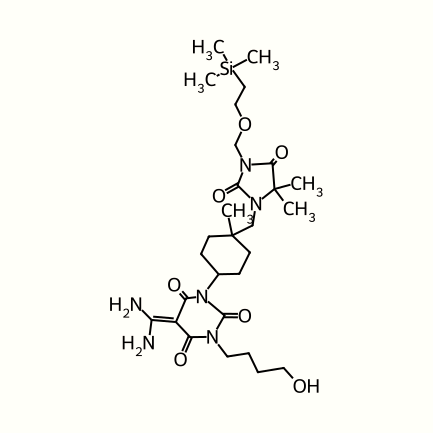 CC1(CN2C(=O)N(COCC[Si](C)(C)C)C(=O)C2(C)C)CCC(N2C(=O)C(=C(N)N)C(=O)N(CCCCO)C2=O)CC1